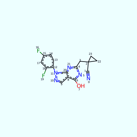 N#CC1(Cc2nc(O)c3cnn(-c4ccc(F)cc4F)c3n2)CC1